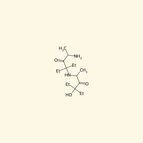 CCC(O)(CC)C(=O)C(C)NC(CC)(CC)C(=O)C(C)N